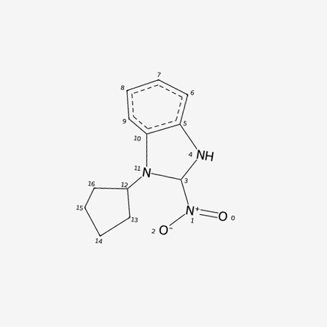 O=[N+]([O-])C1Nc2ccccc2N1C1CCCC1